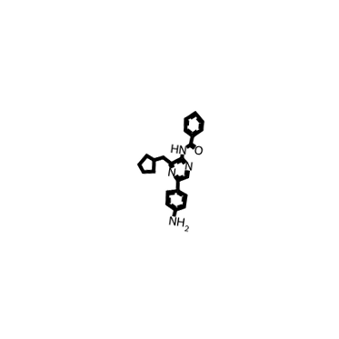 Nc1ccc(-c2cnc(NC(=O)c3ccccc3)c(CC3CCCC3)n2)cc1